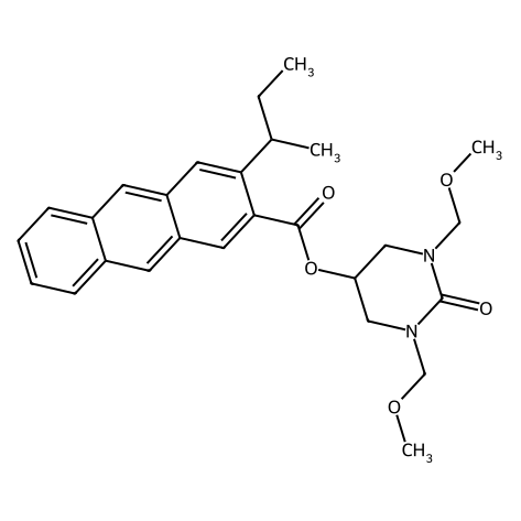 CCC(C)c1cc2cc3ccccc3cc2cc1C(=O)OC1CN(COC)C(=O)N(COC)C1